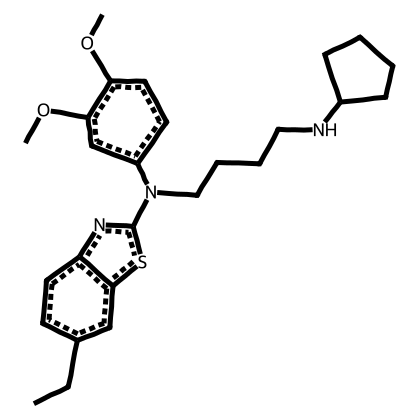 CCc1ccc2nc(N(CCCCNC3CCCC3)c3ccc(OC)c(OC)c3)sc2c1